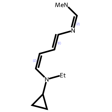 CCN(\C=C/C=C/N=C\NC)C1CC1